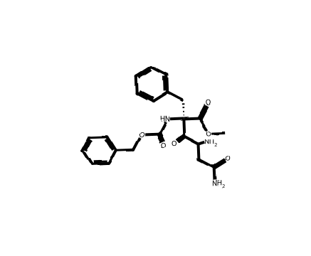 COC(=O)[C@](Cc1ccccc1)(NC(=O)OCc1ccccc1)C(=O)C(N)CC(N)=O